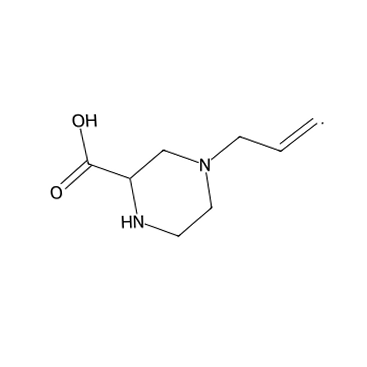 [CH]=CCN1CCNC(C(=O)O)C1